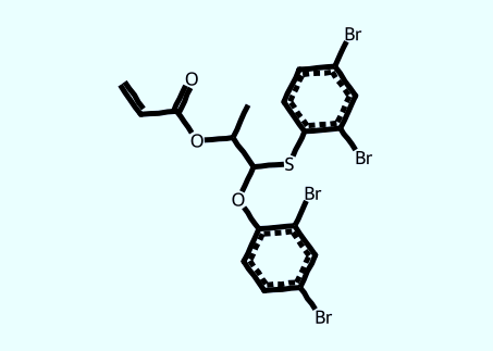 C=CC(=O)OC(C)C(Oc1ccc(Br)cc1Br)Sc1ccc(Br)cc1Br